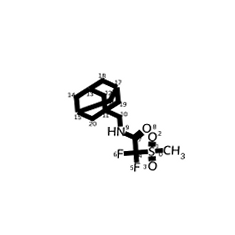 CS(=O)(=O)C(F)(F)C(=O)NCC12CC3CC(CC(C3)C1)C2